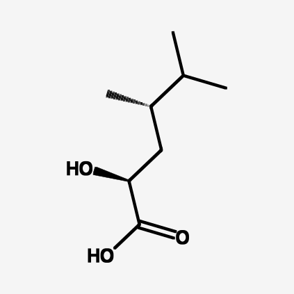 CC(C)[C@@H](C)C[C@H](O)C(=O)O